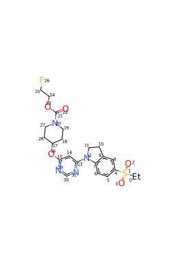 CCS(=O)(=O)c1ccc2c(c1)CCN2c1cc(OC2CCN(C(=O)OCCF)CC2)ncn1